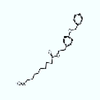 CCCCCCCCCCCCCCCCCCC(=O)OCCc1ccc(OCc2ccccc2)cc1